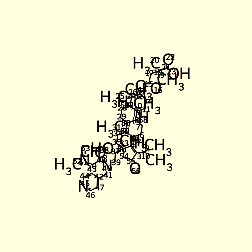 CC(C)C1=C2[C@H]3CC[C@@H]4[C@@]5(C)CC[C@H](OC(=O)CC(C)(C)C(=O)O)C(C)(C)[C@@H]5CC[C@@]4(C)[C@]3(C)CC[C@@]2(C(O)CN(Cc2ccncc2)C(=O)CN(C)C)CC1=O